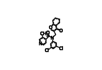 Cc1cnccc1C(=O)N(Cc1coc2ccccc2c1=O)c1cc(Cl)cc(Cl)c1